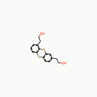 OCCc1ccc2c(c1)Sc1c(CCO)cccc1S2